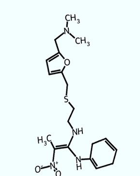 CC(=C(NCCSCc1ccc(CN(C)C)o1)NC1=CCC=CC1)[N+](=O)[O-]